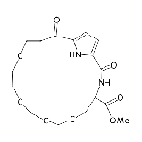 COC(=O)C1CCCCCCCCCCCC(=O)c2ccc([nH]2)C(=O)N1